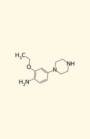 CCOc1cc(N2CCNCC2)ccc1N